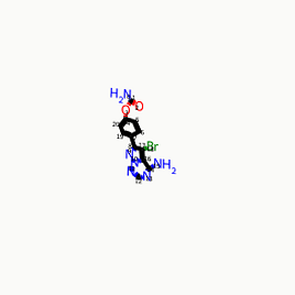 NC(=O)Oc1ccc(-c2nn3ncnc(N)c3c2Br)cc1